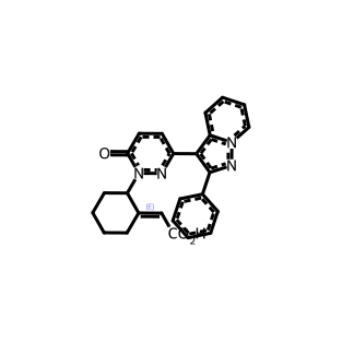 O=C(O)/C=C1\CCCCC1n1nc(-c2c(-c3ccccc3)nn3ccccc23)ccc1=O